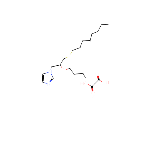 CCCCCCCCSCC(Cn1ccnc1)OCCCC.O=C(O)C(=O)O